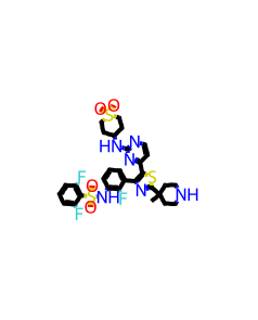 CC1(c2nc(-c3cccc(NS(=O)(=O)c4c(F)cccc4F)c3F)c(-c3ccnc(NC4CCS(=O)(=O)CC4)n3)s2)CCNCC1